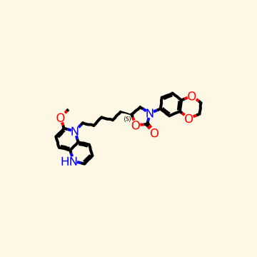 COC1=CC=C2NC=CC=C2N1CCCCC[C@H]1CN(c2ccc3c(c2)OCCO3)C(=O)O1